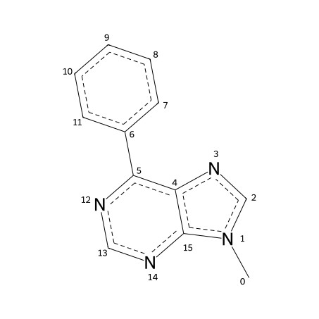 Cn1cnc2c(-c3ccccc3)ncnc21